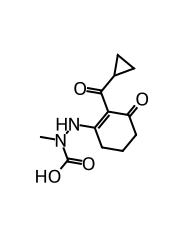 CN(NC1=C(C(=O)C2CC2)C(=O)CCC1)C(=O)O